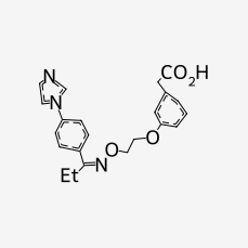 CCC(=NOCCOc1cccc(CC(=O)O)c1)c1ccc(-n2ccnc2)cc1